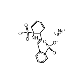 NC1(S(=O)(=O)[O-])C=CC=CC1C=Cc1ccccc1S(=O)(=O)[O-].[Na+].[Na+]